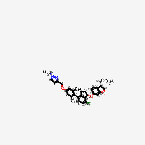 Cc1cc(OCc2ccn(C)n2)cc(C)c1-c1ccc(F)c2c1CC[C@H]2Oc1ccc2c(c1)OC[C@H]2CC(=O)O